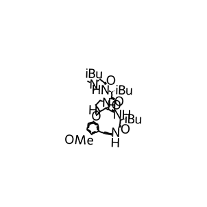 CC[C@H](C)[C@@H]1NC(=O)[C@@H]2[C@H](CCN2C(=O)[C@@H](NC(=O)[C@H]([C@@H](C)CC)N(C)C)[C@@H](C)CC)Oc2ccc(OC)c(c2)/C=C/NC1=O